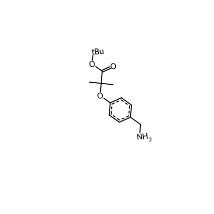 CC(C)(C)OC(=O)C(C)(C)Oc1ccc(CN)cc1